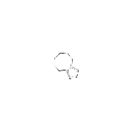 C1=c2/ccs/c2=C/CCCC/1